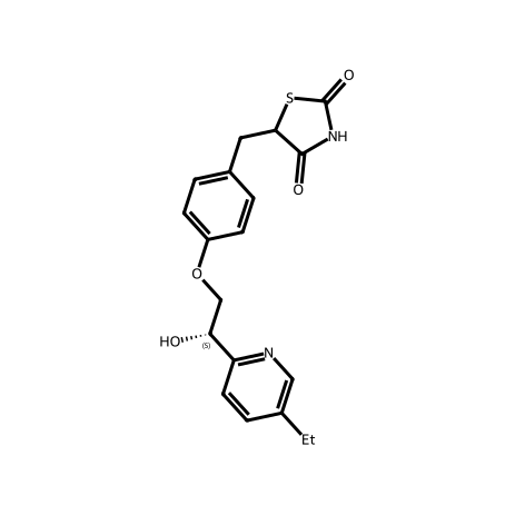 CCc1ccc([C@H](O)COc2ccc(CC3SC(=O)NC3=O)cc2)nc1